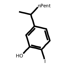 CCCCCC(C)c1ccc(I)c(O)c1